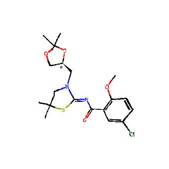 COc1ccc(Cl)cc1C(=O)N=C1SC(C)(C)CN1C[C@H]1COC(C)(C)O1